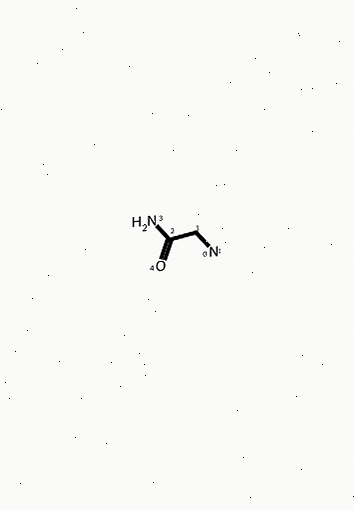 [N]CC(N)=O